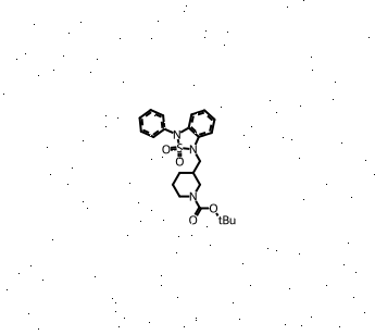 CC(C)(C)OC(=O)N1CCCC(CN2c3ccccc3N(c3ccccc3)S2(=O)=O)C1